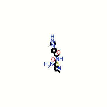 Cc1ccc2c(N)c(C(=O)N[C@H]3COc4cc(N5CCNC[C@H]5C)ccc4C3)sc2n1